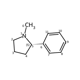 CN1CCC[C@H]1c1cc[c]cc1